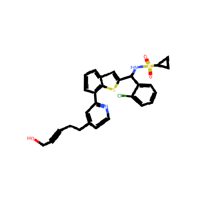 O=S(=O)(NC(c1cc2cccc(-c3cc(CCC#CCO)ccn3)c2s1)c1ccccc1Cl)C1CC1